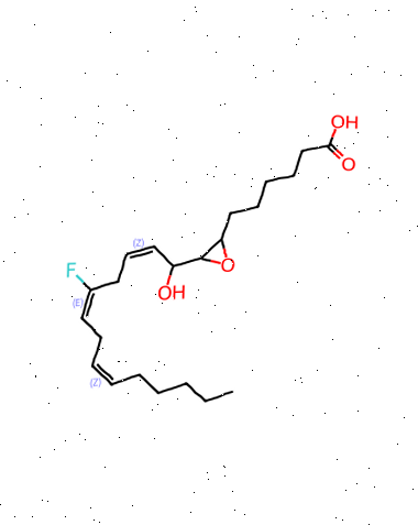 CCCCC/C=C\C/C=C(/F)C/C=C\C(O)C1OC1CCCCCC(=O)O